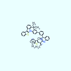 C/C=C\c1c(C)sc(/C(=C\C)c2nc(-c3cccc(-c4ccc5c(c4)C(C)(C)c4cccc6c7c8ccccc8sc7n-5c46)c3)c3ccccc3n2)c1C